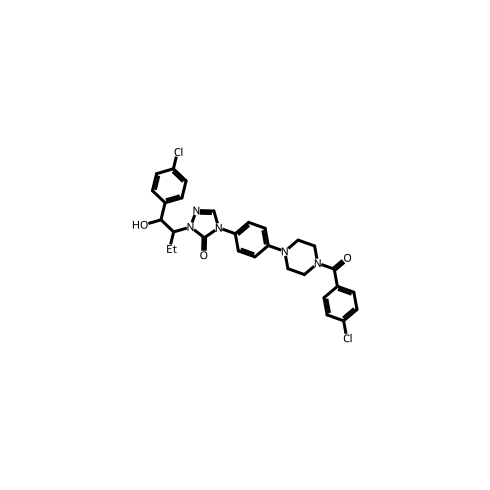 CCC(C(O)c1ccc(Cl)cc1)n1ncn(-c2ccc(N3CCN(C(=O)c4ccc(Cl)cc4)CC3)cc2)c1=O